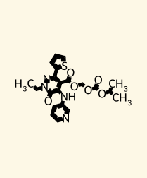 CCn1nc(-c2cccs2)c(C(=O)OCOC(=O)OC(C)C)c(Nc2cccnc2)c1=O